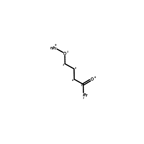 CCCOCCCC(=O)C(C)C